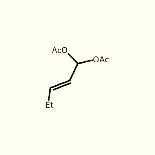 CC/C=C/C(OC(C)=O)OC(C)=O